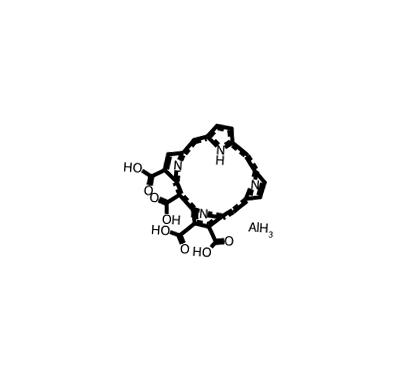 O=C(O)C1=Cc2cc3ccc(cc4nc(cc5[nH]c(c(C(=O)O)c1n2)c(C(=O)O)c5C(=O)O)C=C4)[nH]3.[AlH3]